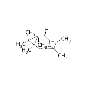 CC1C2C3C(C13C)[C@@]1(C)C(C)(C)[C@]1(C)[C@H]2F